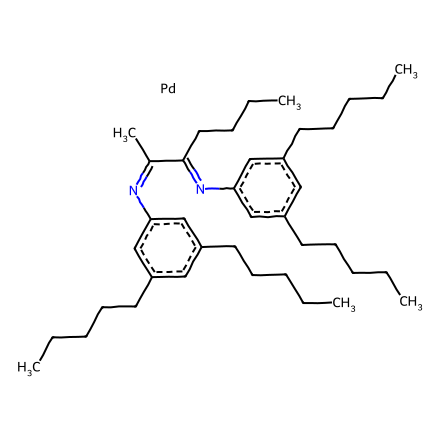 CCCCCc1cc(CCCCC)cc(N=C(C)C(CCCC)=Nc2cc(CCCCC)cc(CCCCC)c2)c1.[Pd]